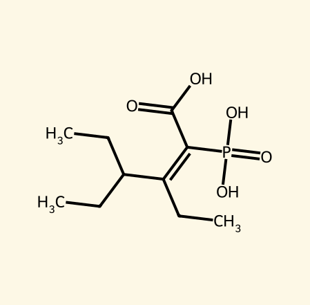 CCC(=C(C(=O)O)P(=O)(O)O)C(CC)CC